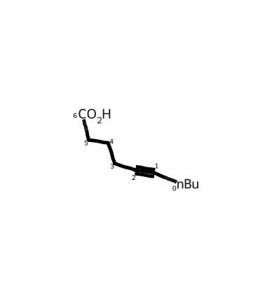 CCCCC#CCCCC(=O)O